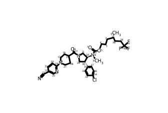 C[C@@H](CCCOC(=O)N(C)[C@@H]1CN(C(=O)C2CCN(c3ccc(C#N)cn3)CC2)C[C@H]1c1ccc(Cl)cc1)CCC(F)(F)F